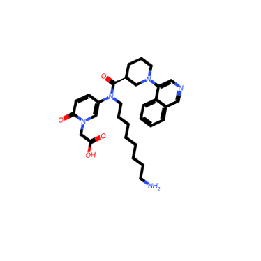 NCCCCCCCCN(C(=O)[C@H]1CCCN(c2cncc3ccccc23)C1)c1ccc(=O)n(CC(=O)O)c1